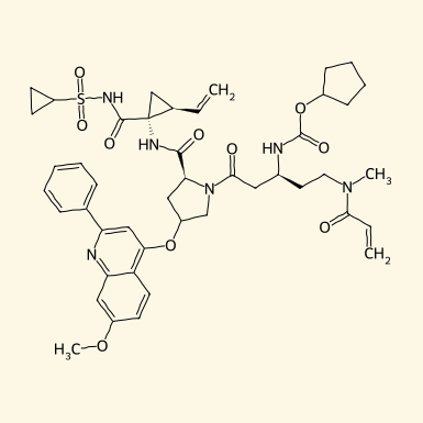 C=CC(=O)N(C)CC[C@@H](CC(=O)N1CC(Oc2cc(-c3ccccc3)nc3cc(OC)ccc23)C[C@H]1C(=O)N[C@]1(C(=O)NS(=O)(=O)C2CC2)C[C@H]1C=C)NC(=O)OC1CCCC1